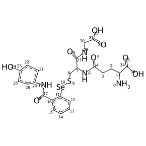 NC(CCC(=O)NC(CS[Se]c1ccccc1C(=O)Nc1ccc(O)cc1)C(=O)NCC(=O)O)C(=O)O